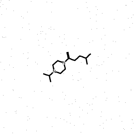 C=C(CCC(C)C)N1CCN(C(C)C)CC1